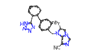 CCCc1cn2cnc(C#N)c2n1Cc1ccc(-c2ccccc2-c2nnn[nH]2)cc1